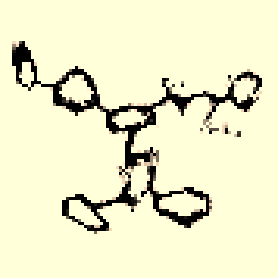 C/C(=C\C=C(/C)c1cnccn1)c1cc(-c2ccc(-c3ccccn3)cc2)cc(-c2nc(C3=CC=CCC3)nc(C3C=C=CC=C3)n2)c1